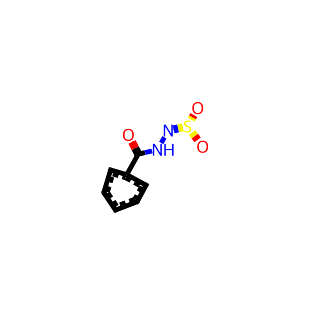 O=C(NN=S(=O)=O)c1ccccc1